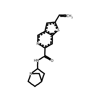 C=Cc1cc2cnc(C(=O)NC3CC4CCN3C4)cc2s1